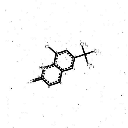 CC(C)(C)c1cc(Cl)c2[nH]c(=O)ccc2c1